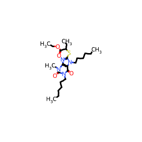 CCCCCCn1c(=O)c2c(nc(SC(CC)C(=O)OCC)n2CCCCCC)n(C)c1=O